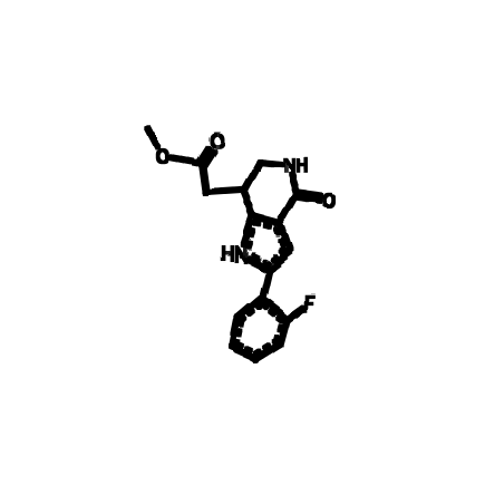 COC(=O)CC1CNC(=O)c2cc(-c3ccccc3F)[nH]c21